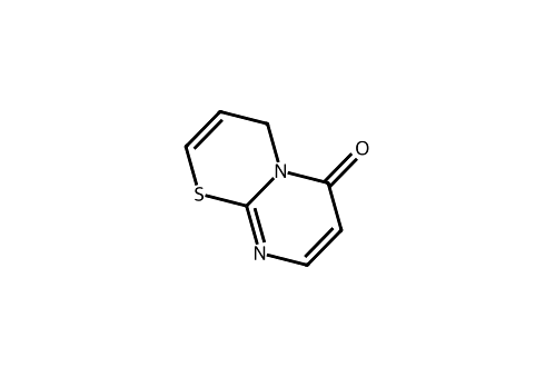 O=c1ccnc2n1CC=CS2